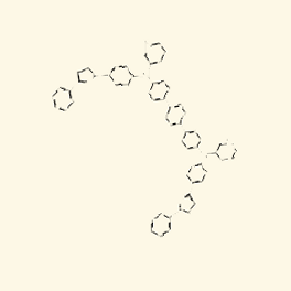 c1ccc(-c2ccc(-c3ccc(N(c4ccc(-c5ccc(-c6ccc(N(c7ccc(-c8ccc(-c9ccccc9)s8)cc7)c7cccnc7)cc6)cc5)cc4)c4cccnc4)cc3)s2)cc1